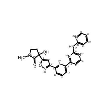 CN1CCC(O)(c2cc(-c3cccc(-c4ccnc(Nc5ccccn5)n4)n3)no2)C1=O